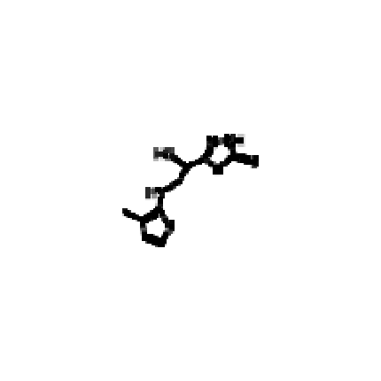 Cc1ccsc1NCC(O)c1n[nH]c(=S)o1